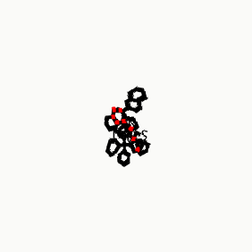 c1ccc(-c2nc3sc4ccccc4c3nc2N(c2ccccc2C2(c3ccccc3)c3ccccc3-c3ccccc32)c2cccc3c2-c2ccccc2C(c2ccc4ccccc4c2)CC3)cc1